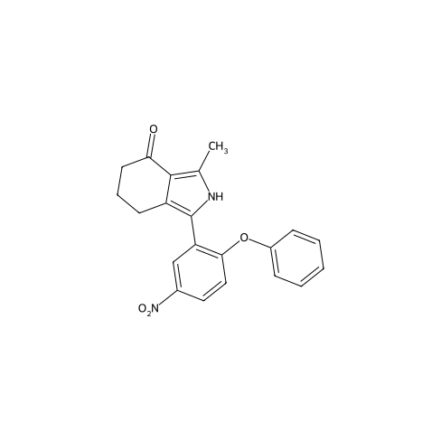 Cc1[nH]c(-c2cc([N+](=O)[O-])ccc2Oc2ccccc2)c2c1C(=O)CCC2